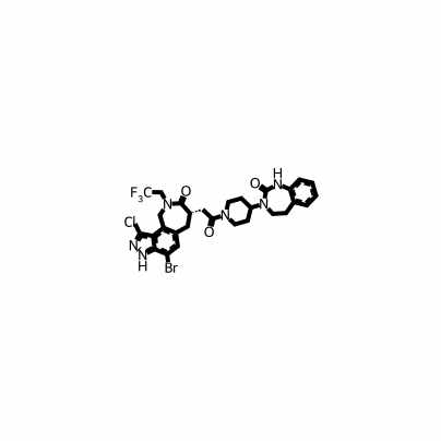 O=C(C[C@@H]1Cc2cc(Br)c3[nH]nc(Cl)c3c2CN(CC(F)(F)F)C1=O)N1CCC(N2CCc3ccccc3NC2=O)CC1